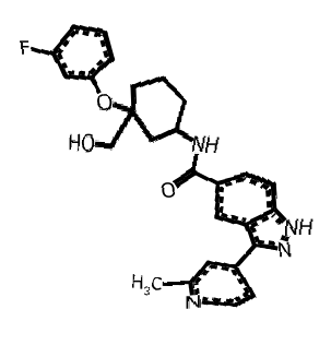 Cc1cc(-c2n[nH]c3ccc(C(=O)NC4CCCC(CO)(Oc5cccc(F)c5)C4)cc23)ccn1